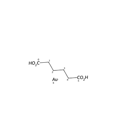 O=C(O)CCCCC(=O)O.[Au]